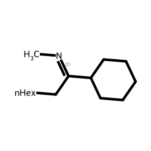 CCCCCCC/C(=N\C)C1CCCCC1